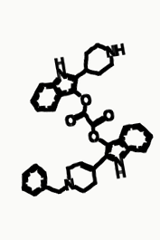 O=C(Oc1c(C2=CCN(Cc3ccccc3)CC2)[nH]c2ccccc12)C(=O)Oc1c(C2CCNCC2)[nH]c2ccccc12